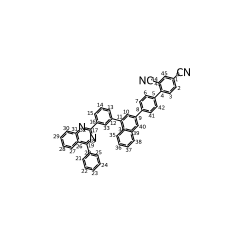 N#Cc1ccc(-c2ccc(-c3cc(-c4cccc(-c5nc(-c6ccccc6)c6ccccc6n5)c4)c4ccccc4c3)cc2)c(C#N)c1